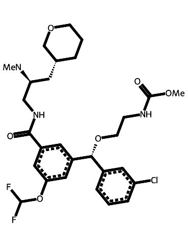 CN[C@H](CNC(=O)c1cc(OC(F)F)cc([C@H](OCCNC(=O)OC)c2cccc(Cl)c2)c1)C[C@H]1CCCOC1